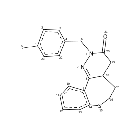 Cc1ccc(CN2N=C3c4ccccc4SCCC3CC2=O)cc1